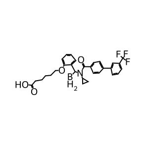 BC(c1ccccc1OCCCCCC(=O)O)N(C(=O)c1ccc(-c2cccc(C(F)(F)F)c2)cc1)C1CC1